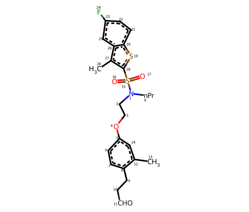 CCCN(CCOc1ccc(CCC=O)c(C)c1)S(=O)(=O)c1sc2ccc(F)cc2c1C